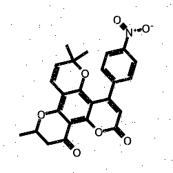 CC1CC(=O)c2c(c3c(c4c(-c5ccc([N+](=O)[O-])cc5)cc(=O)oc24)OC(C)(C)C=C3)O1